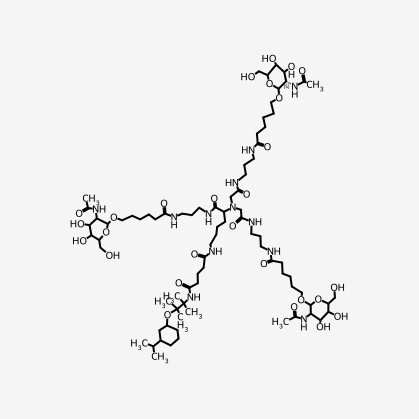 CC(=O)NC1C(OCCCCCC(=O)NCCCNC(=O)CN(CC(=O)NCCCNC(=O)CCCCCOC2OC(CO)C(O)C(O)[C@@H]2NC(C)=O)C(CCCCNC(=O)CCCC(=O)NC(C)(C)C(C)(C)OC2CCCC(C(C)C)C2)C(=O)NCCCNC(=O)CCCCCOC2OC(CO)C(O)C(O)C2NC(C)=O)OC(CO)C(O)C1O